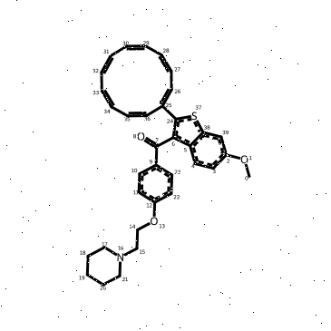 COc1ccc2c(C(=O)c3ccc(OCCN4CCCCC4)cc3)c(C3=CC=CC=CC=CC=CC=C3)sc2c1